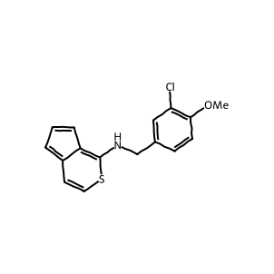 COc1ccc(CNc2sccc3cccc2-3)cc1Cl